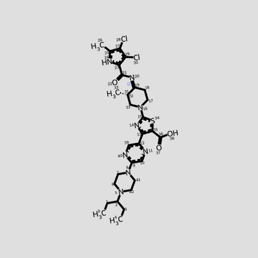 CCC(CC)N1CCN(c2cnc(-c3nc(N4CC/C(=N/C(=O)c5[nH]c(C)c(Cl)c5Cl)[C@@H](C)C4)sc3C(=O)O)cn2)CC1